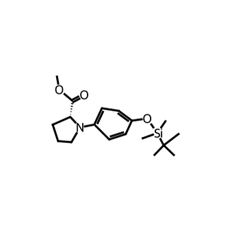 COC(=O)[C@H]1CCCN1c1ccc(O[Si](C)(C)C(C)(C)C)cc1